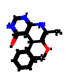 CCOC(=O)OC1=C(C)Nc2nc[nH]c(=O)c2C1c1ccccc1